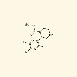 CC(=O)c1cc(F)c(C2CNCCN2C(=O)OC(C)(C)C)cc1F